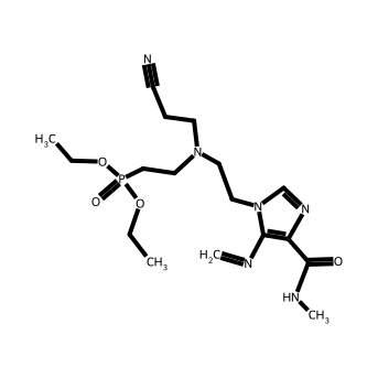 C=Nc1c(C(=O)NC)ncn1CCN(CCC#N)CCP(=O)(OCC)OCC